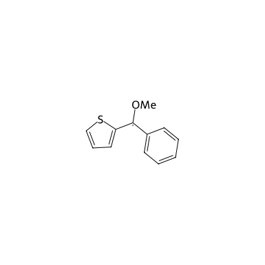 CO[C](c1ccccc1)c1cccs1